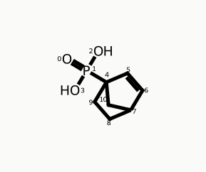 O=P(O)(O)C12C=CC(CC1)C2